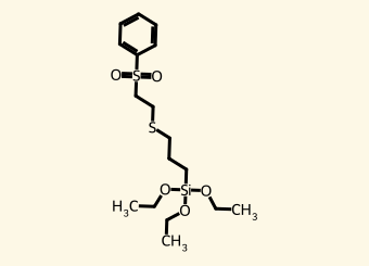 CCO[Si](CCCSCCS(=O)(=O)c1ccccc1)(OCC)OCC